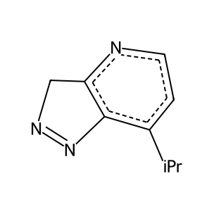 CC(C)c1ccnc2c1N=NC2